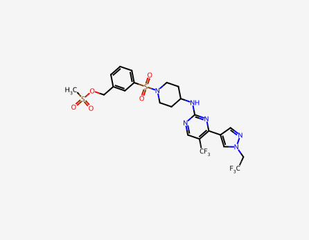 CS(=O)(=O)OCc1cccc(S(=O)(=O)N2CCC(Nc3ncc(C(F)(F)F)c(-c4cnn(CC(F)(F)F)c4)n3)CC2)c1